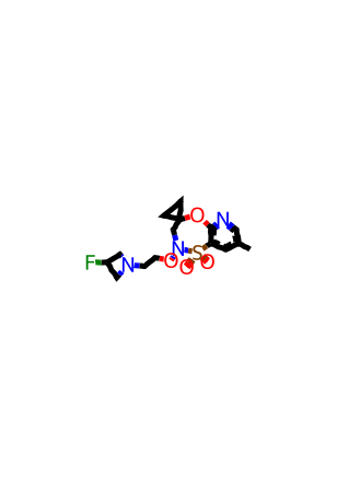 Cc1cnc2c(c1)S(=O)(=O)N(OCCN1CC(F)C1)CC1(CC1)O2